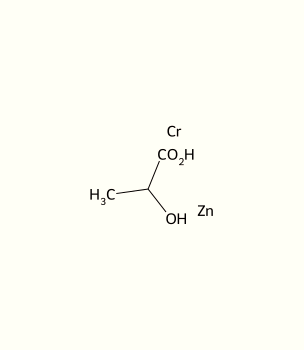 CC(O)C(=O)O.[Cr].[Zn]